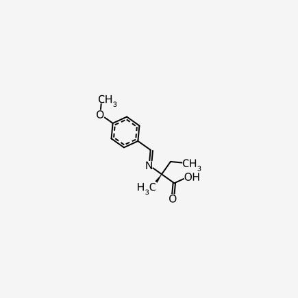 CC[C@@](C)(N=Cc1ccc(OC)cc1)C(=O)O